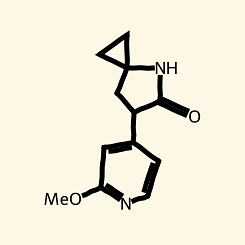 COc1cc(C2CC3(CC3)NC2=O)ccn1